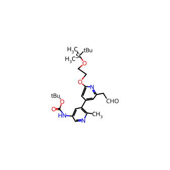 Cc1ncc(NC(=O)OC(C)(C)C)cc1-c1cc(CC=O)nc(OCCO[Si](C)(C)C(C)(C)C)c1